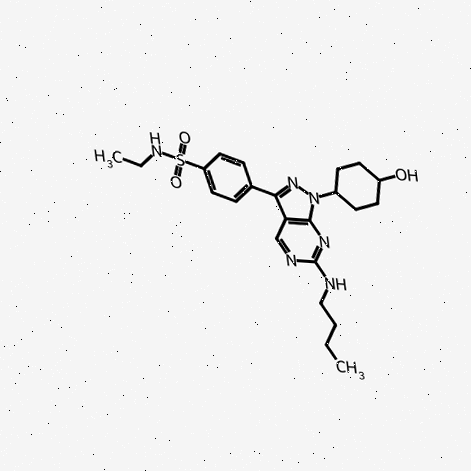 CCCCNc1ncc2c(-c3ccc(S(=O)(=O)NCC)cc3)nn(C3CCC(O)CC3)c2n1